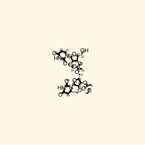 COC1[C@@H](OP(C)(=O)OC)[C@@H](COP(C)(=O)O[C@@H]2C(OC)[C@H](n3ccc(=O)[nH]c3=O)O[C@@H]2CO)O[C@H]1n1ccc(=O)[nH]c1=O